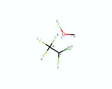 COF.FC(Cl)C(F)(F)F